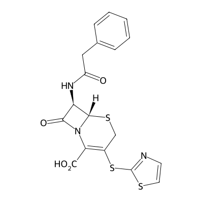 O=C(Cc1ccccc1)N[C@@H]1C(=O)N2C(C(=O)O)=C(Sc3nccs3)CS[C@@H]12